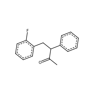 CC(=O)C(Cc1ccccc1F)c1ccccc1